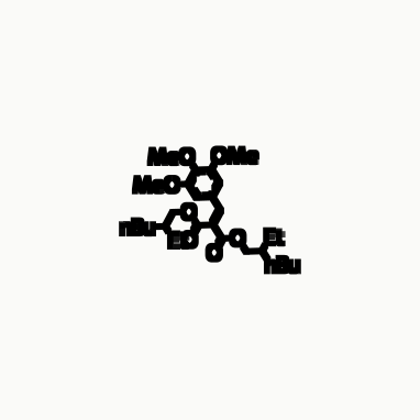 CCCCC(CC)COC(=O)C(=Cc1cc(OC)c(OC)c(OC)c1)C(=O)OCC(CC)CCCC